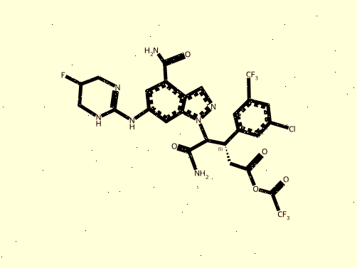 NC(=O)c1cc(NC2=NCC(F)CN2)cc2c1cnn2C(C(N)=O)[C@@H](CC(=O)OC(=O)C(F)(F)F)c1cc(Cl)cc(C(F)(F)F)c1